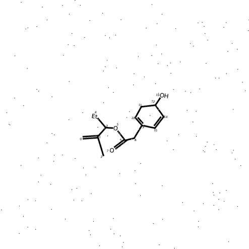 C=C(C)C(CC)OC(=O)CC1=CCC(O)C=C1